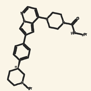 CCCNC(=O)N1CCN(c2ccnn3cc(-c4ccc([C@@H]5CCCN(C(C)C)C5)cc4)cc23)CC1